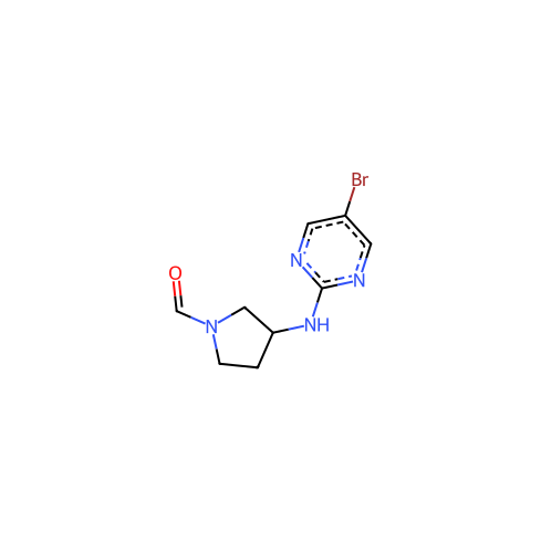 O=CN1CCC(Nc2ncc(Br)cn2)C1